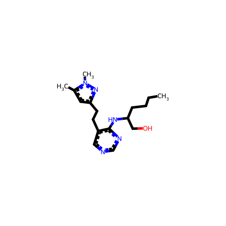 CCCCC(CO)Nc1ncncc1CCc1cc(C)n(C)n1